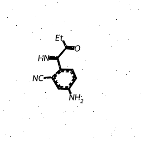 CCC(=O)C(=N)c1ccc(N)cc1C#N